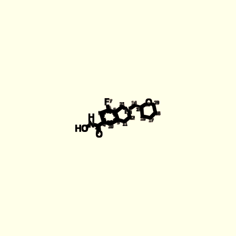 O=C(NO)c1cc(F)c2c(c1)CCN(C[C@@H]1CCCCO1)C2